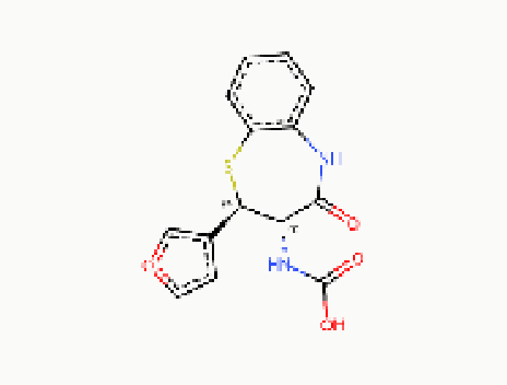 O=C(O)N[C@H]1C(=O)Nc2ccccc2S[C@@H]1c1ccoc1